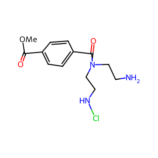 COC(=O)c1ccc(C(=O)N(CCN)CCNCl)cc1